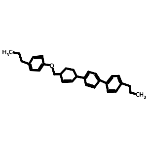 CCCc1ccc(OCC2C=CC(c3ccc(-c4ccc(CCC)cc4)cc3)CC2)cc1